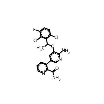 CC(Oc1cc(-c2cc[c]nc2C(N)=O)cnc1N)c1c(Cl)ccc(F)c1Cl